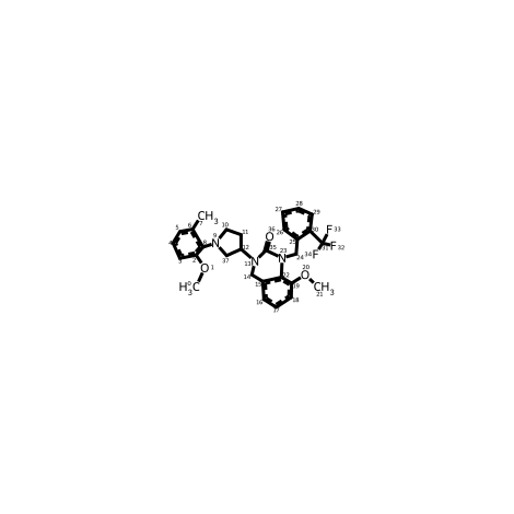 COc1cccc(C)c1N1CCC(N2Cc3cccc(OC)c3N(Cc3ccccc3C(F)(F)F)C2=O)C1